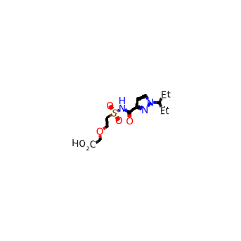 CCC(CC)n1ccc(C(=O)NS(=O)(=O)CCOCC(=O)O)n1